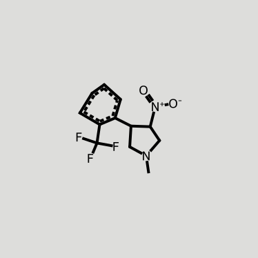 CN1CC(c2ccccc2C(F)(F)F)C([N+](=O)[O-])C1